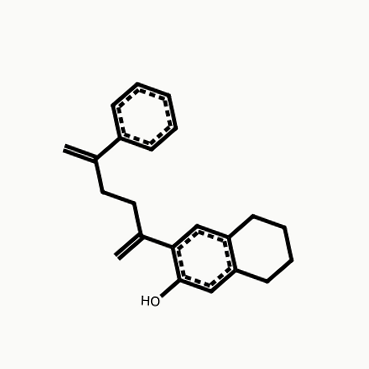 C=C(CCC(=C)c1cc2c(cc1O)CCCC2)c1ccccc1